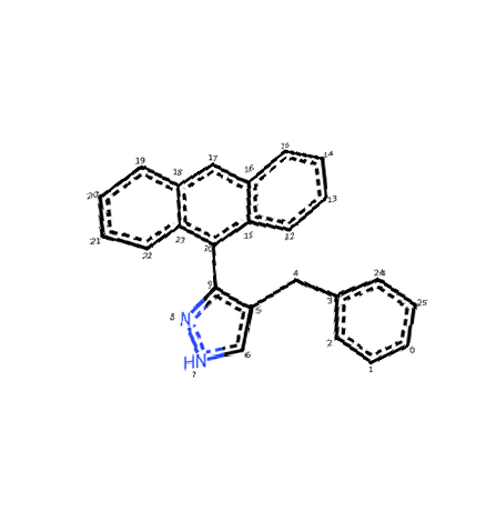 c1ccc(Cc2c[nH]nc2-c2c3ccccc3cc3ccccc23)cc1